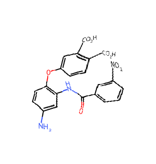 Nc1ccc(Oc2ccc(C(=O)O)c(C(=O)O)c2)c(NC(=O)c2cccc([N+](=O)[O-])c2)c1